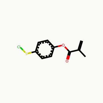 C=C(C)C(=O)Oc1ccc(SCl)cc1